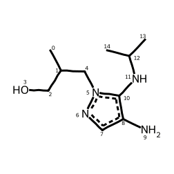 CC(CO)Cn1ncc(N)c1NC(C)C